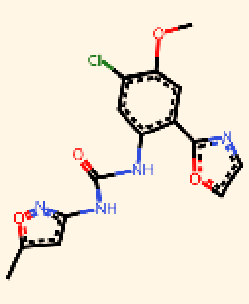 COc1cc(-c2ncco2)c(NC(=O)Nc2cc(C)on2)cc1Cl